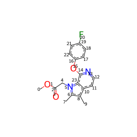 COC(=O)Cn1c(C)c(C)c2ccnc(Oc3ccc(F)cc3)c21